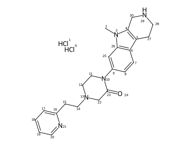 Cl.Cl.Cn1c2c(c3ccc(N4CCN(CCc5ccccn5)CC4=O)cc31)CCNC2